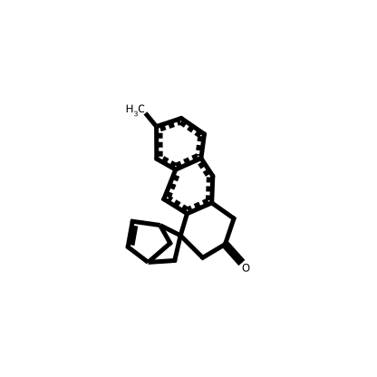 Cc1ccc2cc3c(cc2c1)C1(CC(=O)C3)CC2C=CC1C2